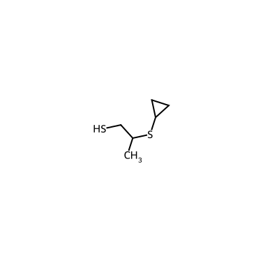 CC(CS)SC1CC1